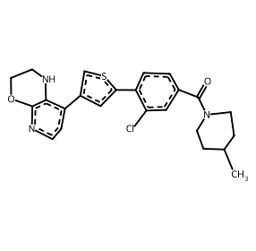 CC1CCN(C(=O)c2ccc(-c3cc(-c4ccnc5c4NCCO5)cs3)c(Cl)c2)CC1